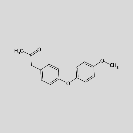 COc1ccc(Oc2ccc(CC(C)=O)cc2)cc1